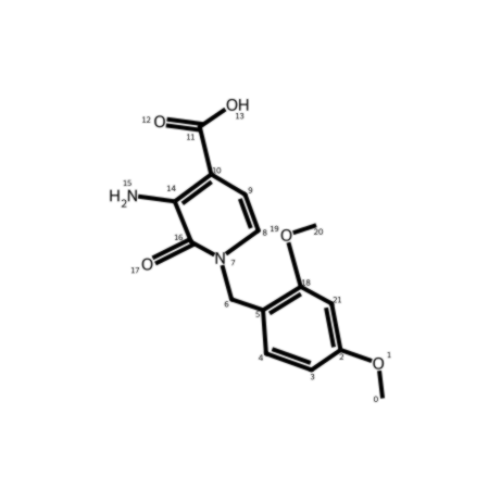 COc1ccc(Cn2ccc(C(=O)O)c(N)c2=O)c(OC)c1